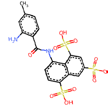 Cc1ccc(C(=O)Nc2ccc(S(=O)(=O)O)c3cc(S(=O)(=O)O)cc(S(=O)(=O)O)c23)c(N)c1